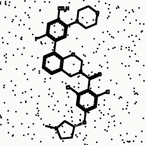 CN1CC[C@@H](Oc2cc(Cl)c(C(=O)N3COc4c(cccc4-c4cc(N5CCOCC5)c(C(=O)O)cc4F)C3)c(Cl)c2)C1